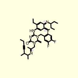 C=C1N(C/C(C)=N/C(C)C(C)C#CCC)C(=O)N=C(NC2=CC(=C/C)/C(=N\C(CC)CC)C=C2CC)N1Cc1cc(F)c(F)cc1F